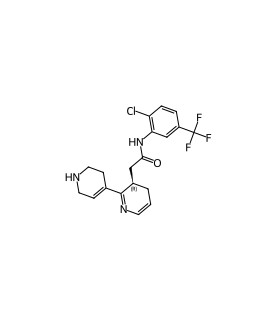 O=C(C[C@H]1CC=CN=C1C1=CCNCC1)Nc1cc(C(F)(F)F)ccc1Cl